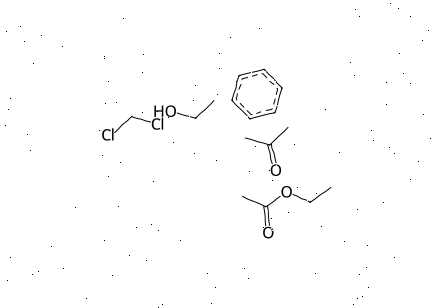 CC(C)=O.CCO.CCOC(C)=O.ClCCl.c1ccccc1